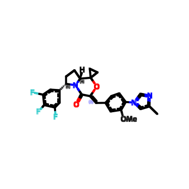 COc1cc(/C=C2\OC3(CC3)[C@H]3CC[C@@H](c4cc(F)c(F)c(F)c4)N3C2=O)ccc1-n1cnc(C)c1